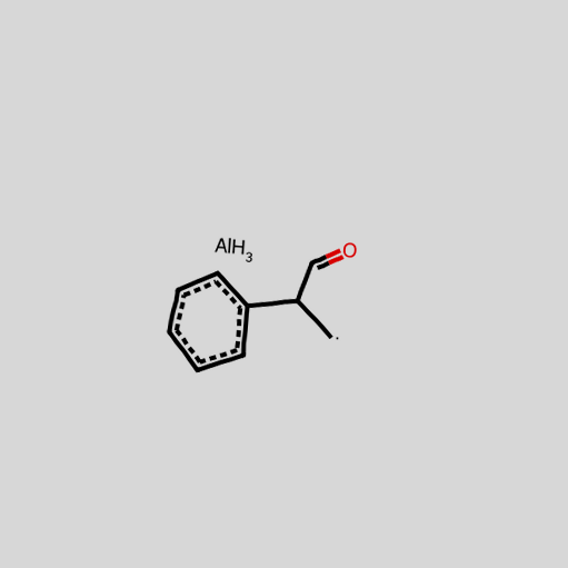 [AlH3].[CH2]C(C=O)c1ccccc1